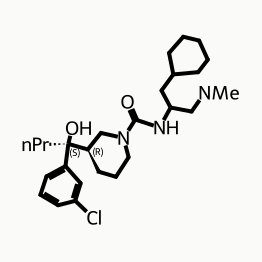 CCC[C@@](O)(c1cccc(Cl)c1)[C@@H]1CCCN(C(=O)NC(CNC)CC2CCCCC2)C1